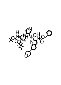 C[C@H]1CN(c2ccncc2NC(=O)c2nc3cc(C4=CCOCC4)ccc3cc2NC(=O)OCc2ccccc2)C[C@@H](NC(=O)OC(C)(C)C)[C@@H]1O[Si](C)(C)C(C)(C)C